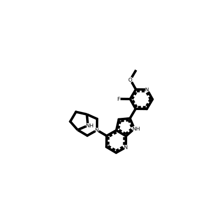 COc1nccc(-c2cc3c(N4CC5CCC(C4)N5)ccnc3[nH]2)c1F